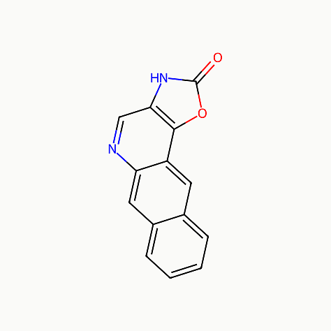 O=c1[nH]c2cnc3cc4ccccc4cc3c2o1